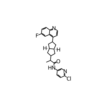 CC(C(=O)Nc1ccc(Cl)nc1)C1C[C@H]2CC(c3ccnc4ccc(F)cc34)C[C@H]2C1